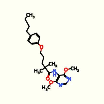 CCCCc1ccc(OCCCC(C)(C)C(=O)Nc2c(OC)ncnc2OC)cc1